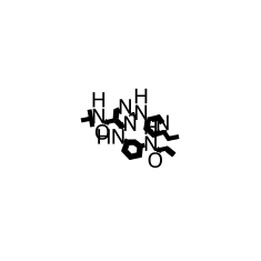 C=CC(=O)Nc1cccc(Nc2nc(Nc3ccc(CC)nc3)ncc2C(=O)NC(C)(C)C)c1